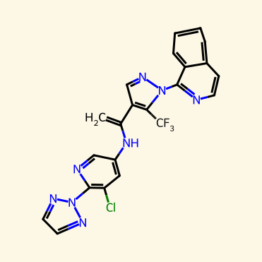 C=C(Nc1cnc(-n2nccn2)c(Cl)c1)c1cnn(-c2nccc3ccccc23)c1C(F)(F)F